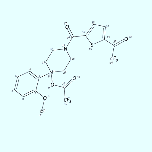 CCOc1ccccc1[N+]1(OC(=O)C(F)(F)F)CCN(C(=O)c2ccc(C(=O)C(F)(F)F)s2)CC1